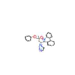 CC1(COc2ccccc2)CC(n2ccnc2)C(c2ccccc2-c2ccccc2)=NO1